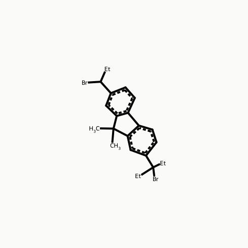 CCC(Br)c1ccc2c(c1)C(C)(C)c1cc(C(Br)(CC)CC)ccc1-2